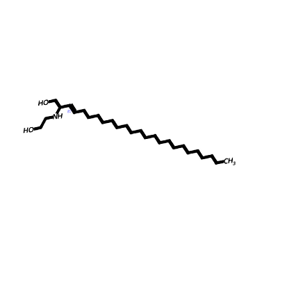 CCCCCCCCCCCCCCCCCCCCC/C=C/C(CO)NCCO